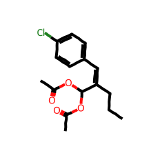 CCCC(=Cc1ccc(Cl)cc1)C(OC(C)=O)OC(C)=O